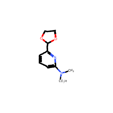 CN(C(=O)O)c1cccc(C2OCCO2)n1